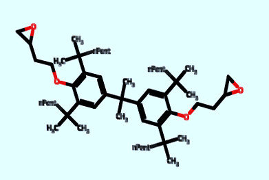 CCCCCC(C)(C)c1cc(C(C)(C)c2cc(C(C)(C)CCCCC)c(OCCC3CO3)c(C(C)(C)CCCCC)c2)cc(C(C)(C)CCCCC)c1OCCC1CO1